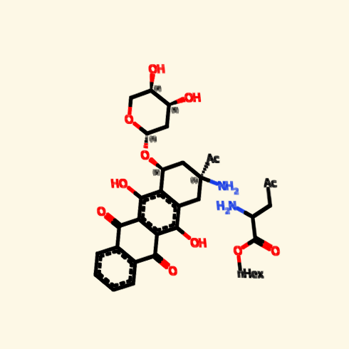 CC(=O)[C@]1(N)Cc2c(O)c3c(c(O)c2[C@@H](O[C@H]2C[C@H](O)[C@H](O)CO2)C1)C(=O)c1ccccc1C3=O.CCCCCCOC(=O)C(N)CC(C)=O